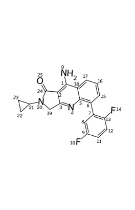 Nc1c2c(nc3c(-c4cc(F)ccc4F)cccc13)CN(C1CC1)C2=O